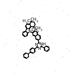 CC1(C)CCC(C)(C)c2c1ccc1c3ccccc3n(-c3ccc4ccc(C5N=C(c6ccc(C7C=CC=CC7)cc6)N=C(c6ccccc6)N5)cc4c3)c21